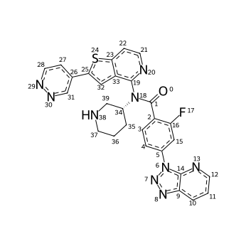 O=C(c1ccc(-n2nnc3cccnc32)cc1F)N(c1nccc2sc(-c3ccnnc3)cc12)[C@@H]1CCCNC1